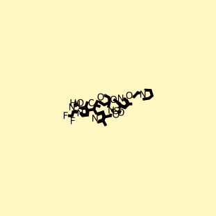 Cc1cnc(C(c2ccn3c(C(F)F)nnc3c2C)C(C)(C)C(=O)O)cc1CN1CC2(CCOCC2)Oc2nc(OCCN3CCCCC3)c(C)cc2S1(=O)=O